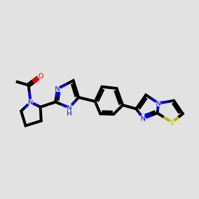 CC(=O)N1CCCC1c1ncc(-c2ccc(-c3cn4ccsc4n3)cc2)[nH]1